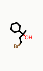 CC(O)(CCBr)C1CCCCC1